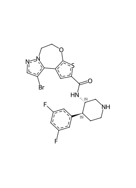 O=C(N[C@@H]1CNCC[C@H]1c1cc(F)cc(F)c1)c1cc2c(s1)OCCn1ncc(Br)c1-2